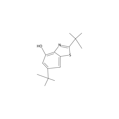 CC(C)(C)c1cc(O)c2nc(C(C)(C)C)sc2c1